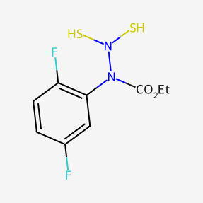 CCOC(=O)N(c1cc(F)ccc1F)N(S)S